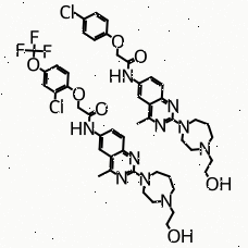 Cc1nc(N2CCCN(CCO)CC2)nc2ccc(NC(=O)COc3ccc(Cl)cc3)cc12.Cc1nc(N2CCCN(CCO)CC2)nc2ccc(NC(=O)COc3ccc(OC(F)(F)F)cc3Cl)cc12